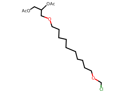 CC(=O)OCC(COCCCCCCCCCCOCCl)OC(C)=O